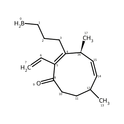 BCCC/C1=C(\C=C)C(=O)CCC(C)/C=C\[C@@H]1C